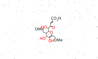 COCC1=C(O)C(O)C(COC)C(C(O)C(=O)C=CC(=O)O)O1